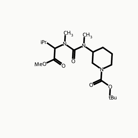 COC(=O)C(C(C)C)N(C)C(=O)N(C)C1CCCN(C(=O)OC(C)(C)C)C1